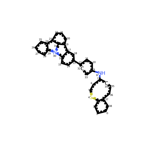 c1ccc2sccc(Nc3ccc(-c4ccc5c(c4)c4cccc6c7ccccc7n5c64)cc3)cccc2c1